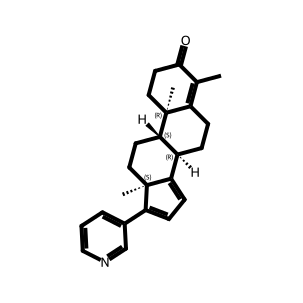 CC1=C2CC[C@H]3C4=CC=C(c5cccnc5)[C@@]4(C)CC[C@@H]3[C@@]2(C)CCC1=O